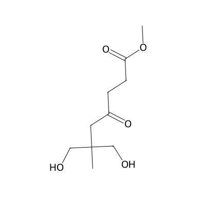 COC(=O)CCC(=O)CC(C)(CO)CO